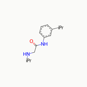 CC(C)NCC(=O)Nc1cccc(C(C)C)c1